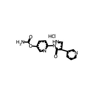 Cl.NC(=O)Oc1ccc(-n2[nH]cc(-c3cccnc3)c2=O)nc1